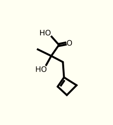 CC(O)(CC1=CCC1)C(=O)O